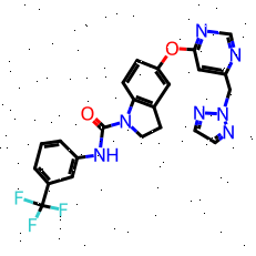 O=C(Nc1cccc(C(F)(F)F)c1)N1CCc2cc(Oc3cc(Cn4nccn4)ncn3)ccc21